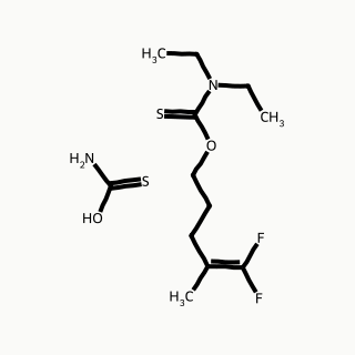 CCN(CC)C(=S)OCCCC(C)=C(F)F.NC(O)=S